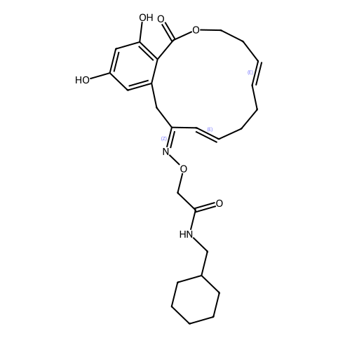 O=C(CO/N=C1\C=C\CC/C=C/CCOC(=O)c2c(O)cc(O)cc2C1)NCC1CCCCC1